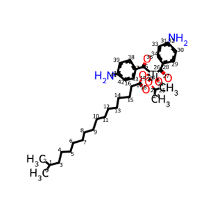 CC(C)CCCCCCCCCCCCCCC(=O)[O][Ti](=[O])([O]C(C)C)([C](=O)c1ccc(N)cc1)[C](=O)c1ccc(N)cc1